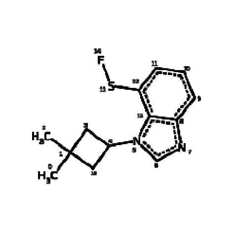 CC1(C)CC(n2cnc3cccc(SF)c32)C1